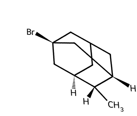 C[C@@H]1[C@@H]2CC3C[C@H]1C[C@@](Br)(C3)C2